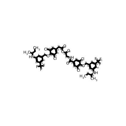 CCC(C)Nc1cc(COc2c(Cl)cc(CC(=O)OC(=O)CNC(=O)c3cc(Cl)c(OCc4cc(NC(C)CC)cc(C(F)(F)F)c4)c(Cl)c3)cc2Cl)cc(C(F)(F)F)c1